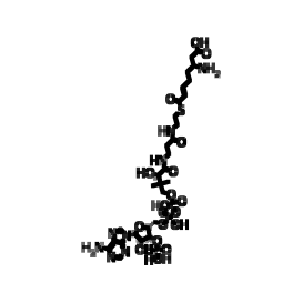 CC(C)(COP(=O)(O)OP(=O)(O)OC[C@H]1O[C@@H](n2cnc3c(N)ncnc32)[C@H](O)[C@@H]1OP(=O)(O)O)[C@@H](O)C(=O)NCCC(=O)NCCSC(=O)C=CCCC(N)CC(=O)O